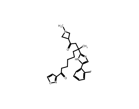 CN1CC(C(=O)CC(C)(CCCCCC(=O)c2ccon2)c2ncc(-c3ccccc3F)[nH]2)C1